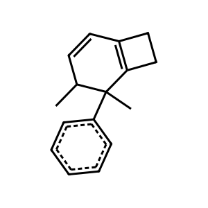 CC1C=CC2=C(CC2)C1(C)c1ccccc1